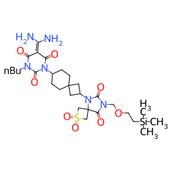 CCCCN1C(=O)C(=C(N)N)C(=O)N(C2CCC3(CC2)CC(N2C(=O)N(COCC[Si](C)(C)C)C(=O)C24CS(=O)(=O)C4)C3)C1=O